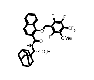 COc1c(F)c(COc2c(C(=O)N[C@H](C(=O)O)C34CC5CC(CC(C5)C3)C4)ccc3ccccc23)c(F)c(F)c1C(F)(F)F